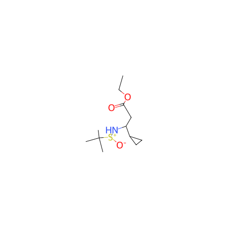 CCOC(=O)CC(N[S+]([O-])C(C)(C)C)C1CC1